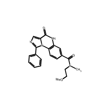 COCCN(C)C(=O)c1ccc2c(c1)[nH]c(=O)c1cnc(-c3ccccc3)n12